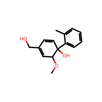 COC1C=C(CO)C=CC1(O)c1ccccc1C